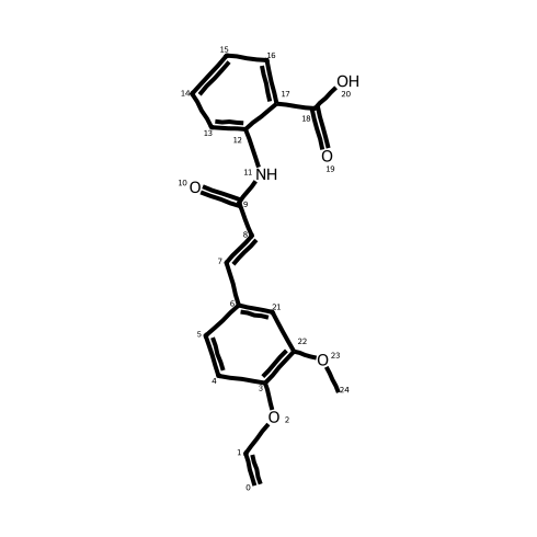 C=COc1ccc(/C=C/C(=O)Nc2ccccc2C(=O)O)cc1OC